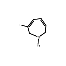 CCN1CC=CC=C(F)C1